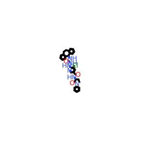 O=C(NNc1ncc(C(=O)NC2CCN(c3ccccc3)C2=O)cc1Cl)NC1c2ccccc2CCc2ccccc21